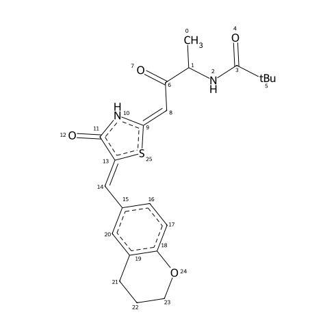 CC(NC(=O)C(C)(C)C)C(=O)/C=c1\[nH]c(=O)/c(=C/c2ccc3c(c2)CCCO3)s1